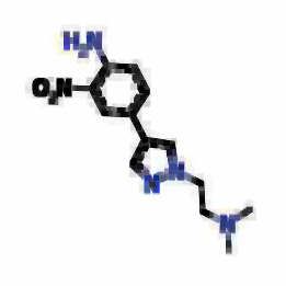 CN(C)CCn1cc(-c2ccc(N)c([N+](=O)[O-])c2)cn1